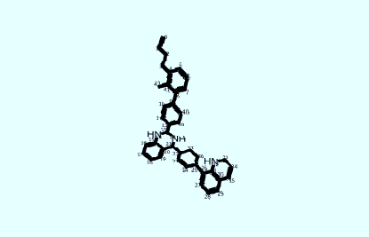 C=CCCc1cccc(-c2ccc(C3Nc4ccccc4C(C4C=CC(c5cccc6c5NCC=C6)CC4)N3)cc2)c1C